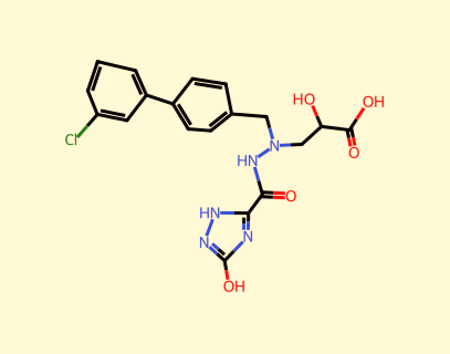 O=C(NN(Cc1ccc(-c2cccc(Cl)c2)cc1)CC(O)C(=O)O)c1nc(O)n[nH]1